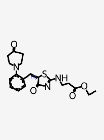 CCOC(=O)CCNC1=NC(=O)/C(=C\c2ccccc2N2CCC(=O)CC2)S1